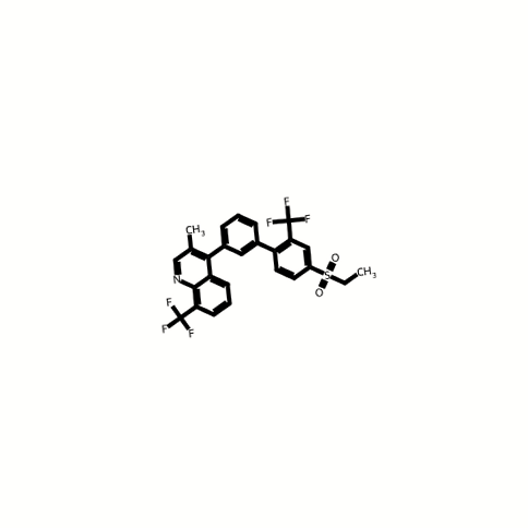 CCS(=O)(=O)c1ccc(-c2cccc(-c3c(C)cnc4c(C(F)(F)F)cccc34)c2)c(C(F)(F)F)c1